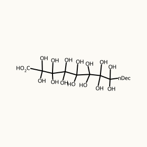 CCCCCCCCCCC(O)(O)C(O)(O)C(O)(O)C(O)(O)C(O)(O)C(O)(O)C(O)(O)C(=O)O